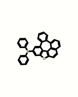 c1ccc(N(c2ccccc2)c2cc3c4c(c2)oc2ccc5cccc(c5c24)-c2ccccc2-3)cc1